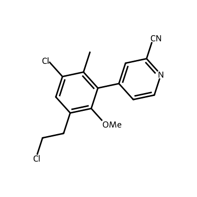 COc1c(CCCl)cc(Cl)c(C)c1-c1ccnc(C#N)c1